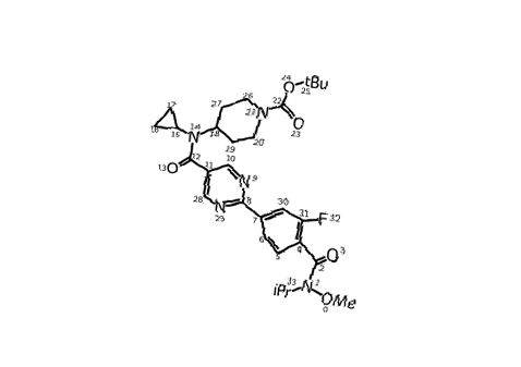 CON(C(=O)c1ccc(-c2ncc(C(=O)N(C3CC3)C3CCN(C(=O)OC(C)(C)C)CC3)cn2)cc1F)C(C)C